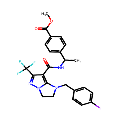 COC(=O)c1ccc(C(C)NC(=O)c2c(C(F)(F)F)nn3c2N(Cc2ccc(I)cc2)CC3)cc1